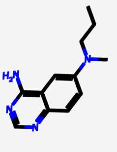 CCCN(C)c1ccc2ncnc(N)c2c1